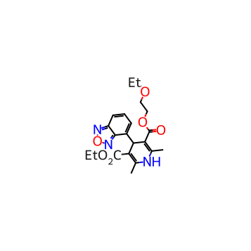 CCOCCOC(=O)C1=C(C)NC(C)=C(C(=O)OCC)C1c1cccc2nonc12